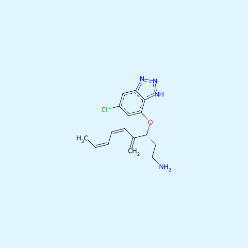 C=C(/C=C\C=C/C)[C@@H](CCN)Oc1cc(Cl)cc2nn[nH]c12